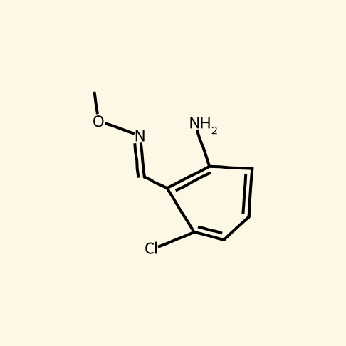 CON=Cc1c(N)cccc1Cl